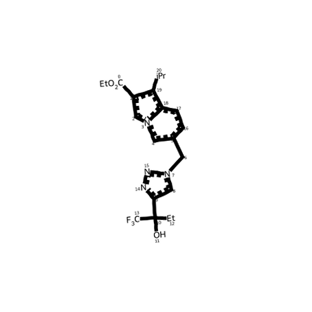 CCOC(=O)c1cn2cc(Cn3cc(C(O)(CC)C(F)(F)F)nn3)ccc2c1C(C)C